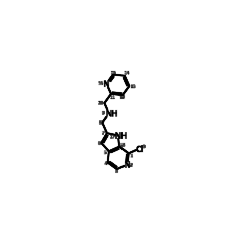 Clc1nccc2cc(CNCc3ccccn3)[nH]c12